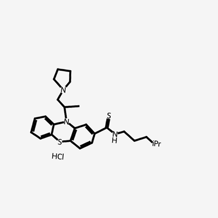 CC(C)CCCNC(=S)c1ccc2c(c1)N(C(C)CN1CCCC1)c1ccccc1S2.Cl